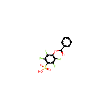 O=C(Oc1c(F)c(F)c(S(=O)(=O)O)c(F)c1F)c1ccccc1